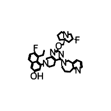 CCc1c(F)ccc2cc(O)cc(N3CCc4c(nc(OC[C@@]56CCCN5C[C@H](F)C6)nc4N4CCCc5ncccc5C4)C3)c12